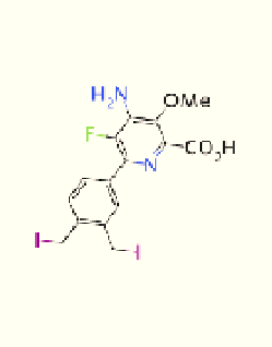 COc1c(C(=O)O)nc(-c2ccc(CI)c(CI)c2)c(F)c1N